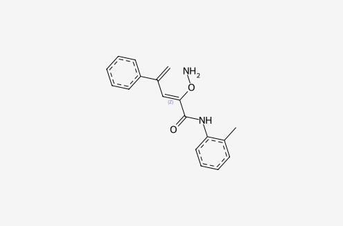 C=C(/C=C(\ON)C(=O)Nc1ccccc1C)c1ccccc1